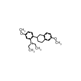 CCN(CC)c1cc(OC)ccc1C1CCc2cc(OC)ccc2C1